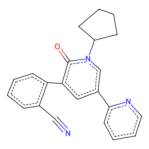 N#Cc1ccccc1-c1cc(-c2ccccn2)cn(C2CCCC2)c1=O